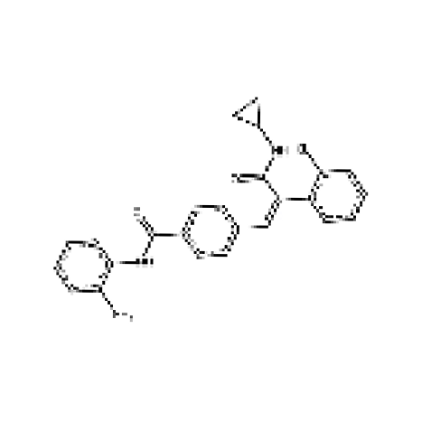 Nc1ccccc1NC(=O)c1ccc(/C=C(\C(=O)NC2CC2)c2ccccc2Cl)cc1